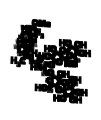 CO[C@@H]1CC[C@@]2(C)[C@H](CC[C@@H]3[C@@H]2CC[C@]2(C)[C@@H]([C@H](C)CCC(=O)NC(CO[C@@H]4OC(CO)C(O[C@@H]5OC(CO)[C@@H](O)[C@H](O)C5O)[C@H](O)C4O)CO[C@@H]4OC(CO)[C@@H](O[C@H]5OC(CO)[C@@H](O)[C@H](O)C5O)[C@H](O)C4O)CC[C@@H]32)C1